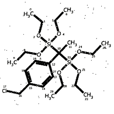 CCO[Si](OCC)(OCC)C(C)(c1ccc(CCl)cc1)[Si](OCC)(OCC)OCC